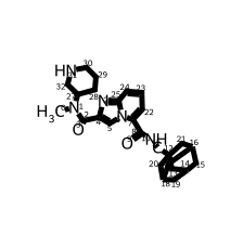 CN(C(=O)c1cn2c(C(=O)NCC34CC5CC(CC(C5)C3)C4)cccc2n1)C1CCCNC1